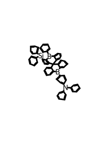 c1ccc(N(c2ccccc2)c2ccc(B3c4ccccc4C4(c5ccccc53)c3ccccc3B3c5ccccc5[Si](c5ccccc5)(c5ccccc5)c5cccc4c53)cc2)cc1